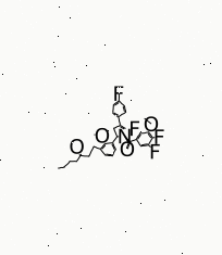 CCCCC(=O)CCc1cccc(C2CC(c3ccc(F)cc3)=CN2C(=O)c2cc(F)c(F)c(OC)c2F)c1OC